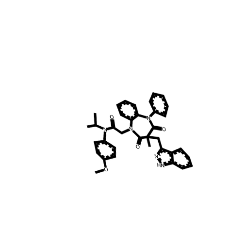 COc1ccc(N(C(=O)CN2C(=O)C(C)(Cc3n[nH]c4ccccc34)C(=O)N(c3ccccc3)c3ccccc32)C(C)C)cc1